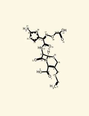 C=CSCC1=C(C(=O)O)N2C(=O)C(NC(=O)/C(=N\OCC(=O)O)c3csc(N)n3)[C@H]2SC1